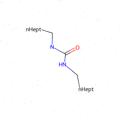 CCCCCCCC[N]C(=O)NCCCCCCCC